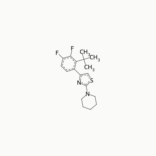 CC(C)(C)c1c(-c2csc(N3CCCCC3)n2)ccc(F)c1F